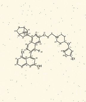 CCc1cc(OC2CCN(CCOc3nc(N4CC5CCC(C4)N5)c4cnc(-c5cc(O)cc6cccc(CC)c56)c(F)c4n3)CC2)no1